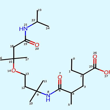 CCC(CC(C)C(=O)NC(C)(C)CCOC(C)(C)CC(=O)NC(C)C)C(=O)O